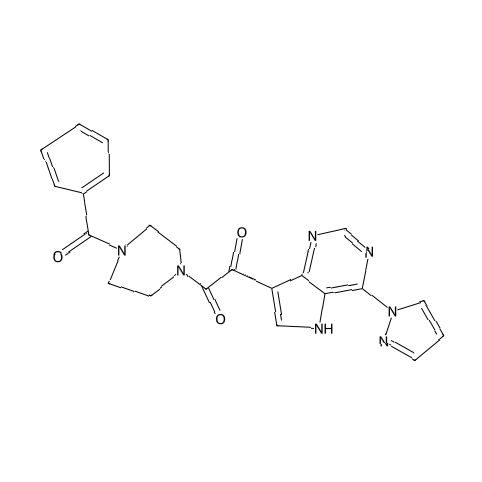 O=C(C(=O)N1CCN(C(=O)c2ccccc2)CC1)c1c[nH]c2c(-n3cccn3)ncnc12